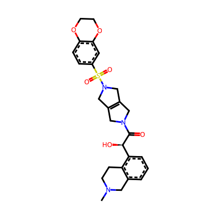 CN1CCc2c(cccc2[C@@H](O)C(=O)N2CC3=C(C2)CN(S(=O)(=O)c2ccc4c(c2)OCCO4)C3)C1